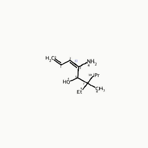 C=C/C=C(/N)C(O)C(C)(CC)C(C)C